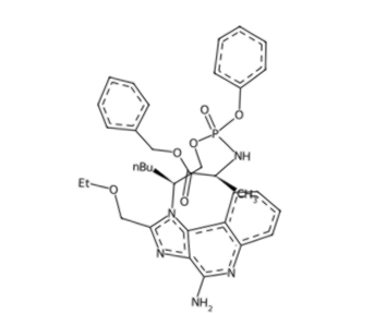 CCCC[C@@H](COP(=O)(N[C@@H](C)C(=O)OCc1ccccc1)Oc1ccccc1)n1c(COCC)nc2c(N)nc3ccccc3c21